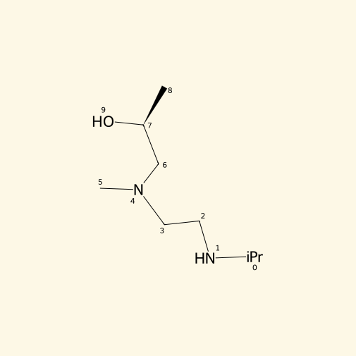 CC(C)NCCN(C)C[C@H](C)O